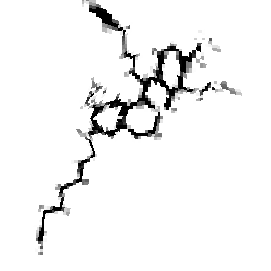 COc1cc2c(cc1OCCCCCCC#N)CC[n+]1cc3c(OC)c(OC)ccc3c(CCCCC#N)c1-2